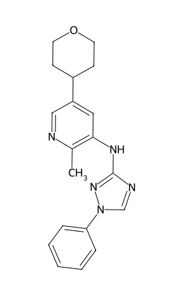 Cc1ncc(C2CCOCC2)cc1Nc1ncn(-c2ccccc2)n1